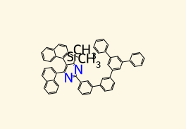 C[Si]1(C)c2ccc3ccccc3c2-c2c(-c3cccc4ccccc34)nc(-c3cccc(-c4cccc(-c5cc(-c6ccccc6)cc(-c6ccccc6)c5)c4)c3)nc21